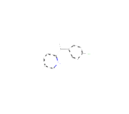 CC(c1ccc(Cl)cc1)c1ccc(O)cn1